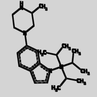 CC1CN(c2ccc3ccn([Si](C(C)C)(C(C)C)C(C)C)c3c2)CCN1